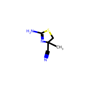 CC1(C#N)CSC(N)=N1